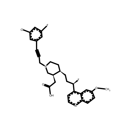 COc1ccc2nccc([C@H](F)CC[C@@H]3CCN(CC#Cc4cc(F)cc(Cl)c4)C[C@@H]3CC(=O)O)c2c1